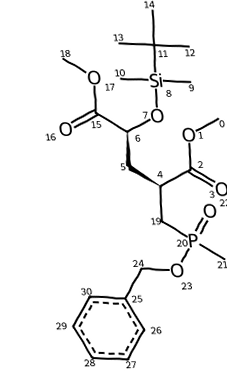 COC(=O)[C@H](C[C@H](O[Si](C)(C)C(C)(C)C)C(=O)OC)CP(C)(=O)OCc1ccccc1